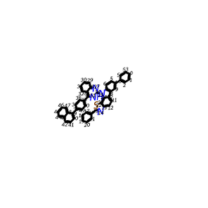 c1ccc(-c2ccc3c(c2)c2ccc4nc(-c5ccccc5)sc4c2n3C2N=c3ccccc3=C(c3ccc(-c4cccc5ccccc45)cc3)N2)cc1